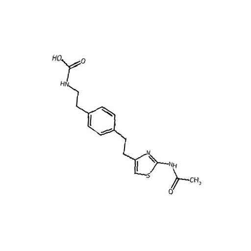 CC(=O)Nc1nc(CCc2ccc(CCNC(=O)O)cc2)cs1